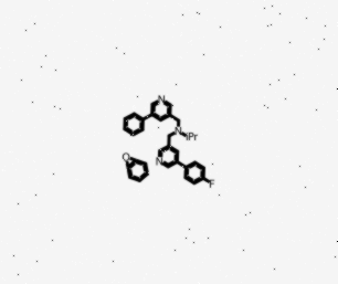 CC(C)N(Cc1cncc(-c2ccccc2)c1)Cc1cncc(-c2ccc(F)cc2)c1.c1ccc2c(c1)O2